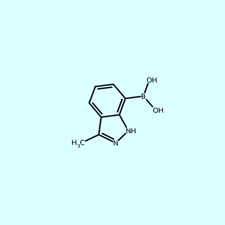 Cc1n[nH]c2c(B(O)O)cccc12